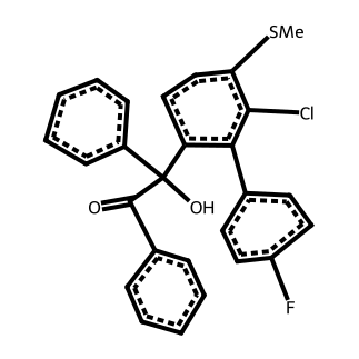 CSc1ccc(C(O)(C(=O)c2ccccc2)c2ccccc2)c(-c2ccc(F)cc2)c1Cl